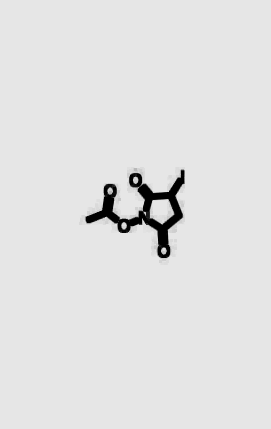 CC(=O)ON1C(=O)CC(I)C1=O